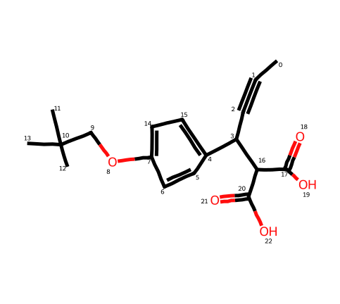 CC#CC(c1ccc(OCC(C)(C)C)cc1)C(C(=O)O)C(=O)O